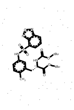 Cc1ccc(NS(=O)(=O)c2cccc3nonc23)cc1C[C@H](NC(=O)OC(C)(C)C)C(=O)OC(C)(C)C